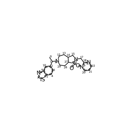 CC(c1ccc2scnc2c1)N1CCC2CN(Cc3ncccn3)S(=O)(=O)C2CC1